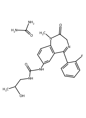 CC(O)CNC(=O)Nc1ccc2c(c1)C(c1ccccc1F)=NCC(=O)N2C.NC(N)=O